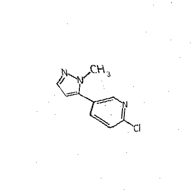 Cn1nccc1-c1ccc(Cl)nc1